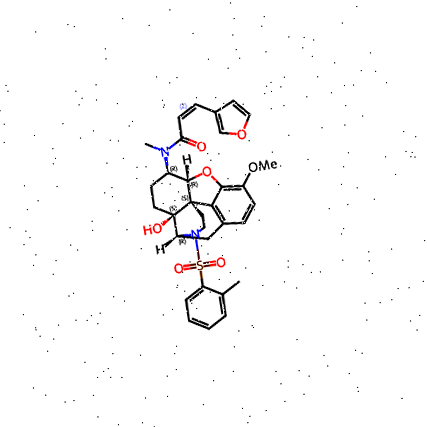 COc1ccc2c3c1O[C@H]1[C@H](N(C)C(=O)/C=C\c4ccoc4)CC[C@@]4(O)[C@@H](C2)N(S(=O)(=O)c2ccccc2C)CC[C@]314